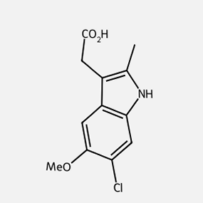 COc1cc2c(CC(=O)O)c(C)[nH]c2cc1Cl